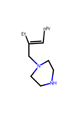 CCCC=C(CC)CN1CCNCC1